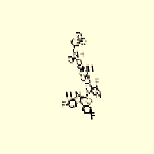 N[C@H](C(=O)Nc1cncc(F)c1CC[C@@H]1CN[C@H](COC(=O)NCC2CCS(=O)(=O)C2)CO1)C(c1ccc(F)cc1)c1ccc(F)cc1